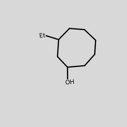 CCC1CCCCCC(O)C1